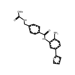 [CH2]OC(=O)NCc1ccc(C(=O)Nc2cc(-c3cccs3)ccc2N)cc1